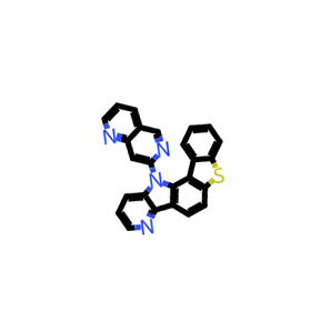 c1cnc2cc(-n3c4cccnc4c4ccc5sc6ccccc6c5c43)ncc2c1